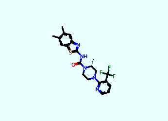 Cc1cc2nc(NC(=O)N3CCN(c4ncccc4C(F)(F)F)C[C@H]3C)sc2cc1C